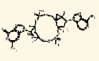 CO[C@H]1[C@H]2OP(=O)(O)OCC34C[C@@H]3[C@@H](n3cnc5c(N)ncnc53)[C@H](C)[C@@H]4OP(=O)(S)OC[C@H]1O[C@H]2n1nnc2c(=O)[nH]c(N)nc21